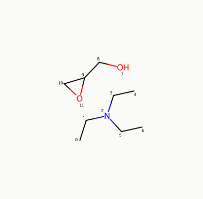 CCN(CC)CC.OCC1CO1